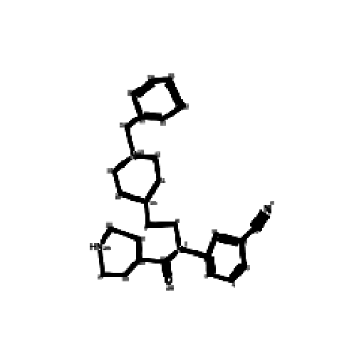 N#Cc1cccc(N(CCC2CCN(Cc3ccccc3)CC2)C(=O)C2CCNCC2)c1